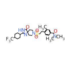 Cc1cc(C(=O)N(C)C)ccc1CCS(=O)(=O)N1CCC2(CC1)N=C(C1CCC(C(F)(F)F)CC1)NC2=O